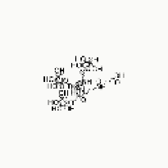 O=C(O)CCCCC(=O)NCCCCC(C(=O)NCCO[C@H]1O[C@H](CO)[C@@H](O)[C@H](O)[C@@H]1O)N(CC(=O)NCCO[C@H]1O[C@H](CO)[C@@H](O)[C@H](O)[C@@H]1O)CC(=O)NCCO[C@H]1O[C@H](CO)[C@@H](O)[C@H](O)[C@@H]1O